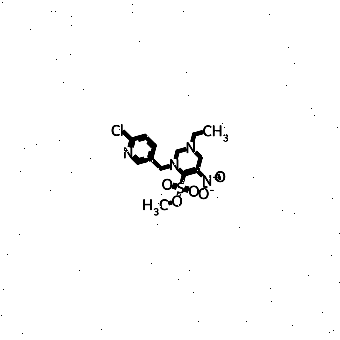 CCN1CC([N+](=O)[O-])=C(S(=O)(=O)OC)N(Cc2ccc(Cl)nc2)C1